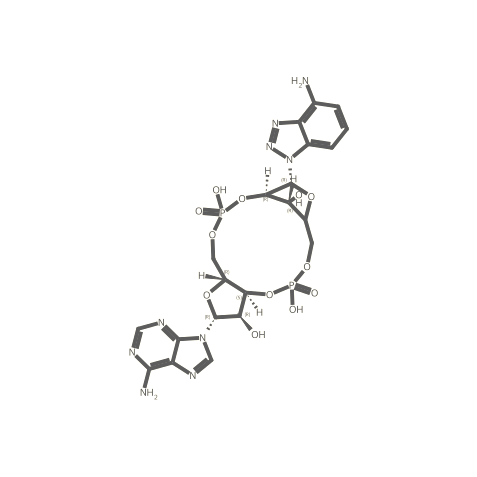 Nc1ncnc2c1ncn2[C@@H]1O[C@@H]2COP(=O)(O)O[C@@H]3[C@H](O)C(COP(=O)(O)O[C@H]2[C@H]1O)O[C@H]3n1nnc2c(N)cccc21